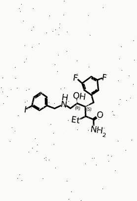 CCC(C(N)=O)[C@H](Cc1cc(F)cc(F)c1)[C@@H](O)CNCc1cccc(I)c1